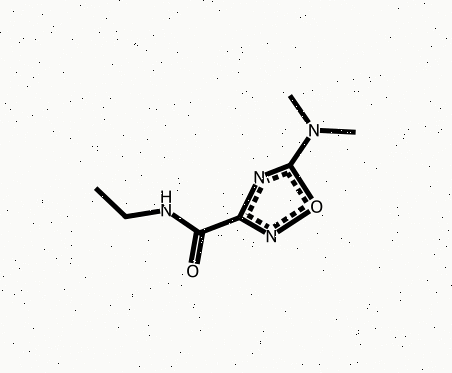 CCNC(=O)c1noc(N(C)C)n1